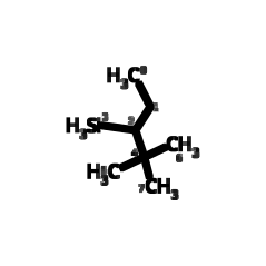 CCC([SiH3])C(C)(C)C